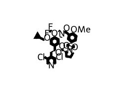 COc1ccc(S(=O)(=O)N2CCC[C@H]2C(=O)O[C@@H](Cc2c(Cl)cncc2Cl)c2ccc(OC(F)F)c(OCC3CC3)c2)cc1C(=O)N(C)C